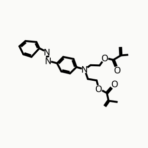 C=C(C)C(=O)OCCN(CCOC(=O)C(=C)C)c1ccc(/N=N/c2ccccc2)cc1